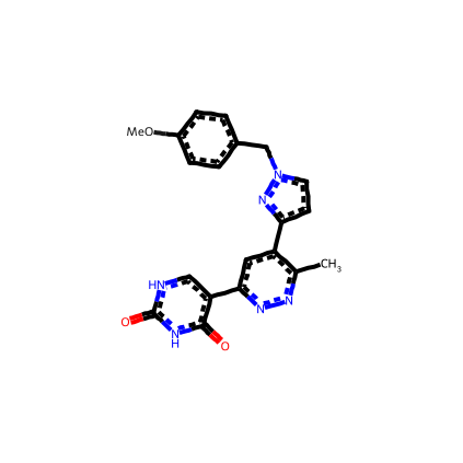 COc1ccc(Cn2ccc(-c3cc(-c4c[nH]c(=O)[nH]c4=O)nnc3C)n2)cc1